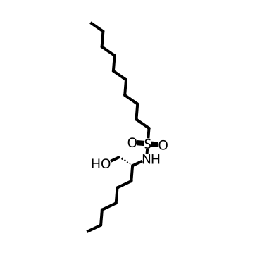 CCCCCCCCCCS(=O)(=O)N[C@@H](CO)CCCCCC